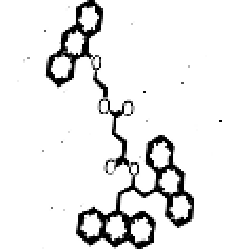 O=C(CCC(=O)OC(Cc1c2ccccc2cc2ccccc12)Cc1c2ccccc2cc2ccccc12)OCCOc1c2ccccc2cc2ccccc12